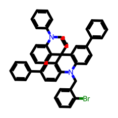 Brc1ccccc1CN1c2ccc(-c3ccccc3)cc2C2(c3cc(-c4ccccc4)ccc31)c1ccccc1N(c1ccccc1)c1ccccc12